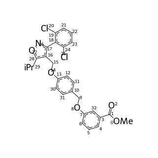 COC(=O)c1cccc(OCc2ccc(OCc3c(-c4c(Cl)cccc4Cl)noc3C(C)C)cc2)c1